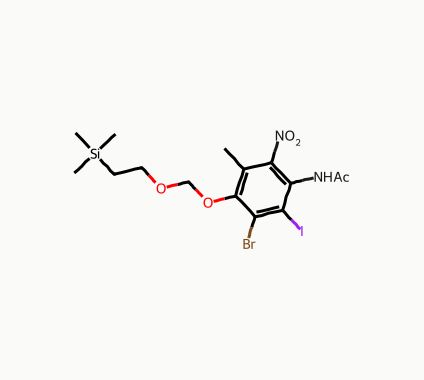 CC(=O)Nc1c(I)c(Br)c(OCOCC[Si](C)(C)C)c(C)c1[N+](=O)[O-]